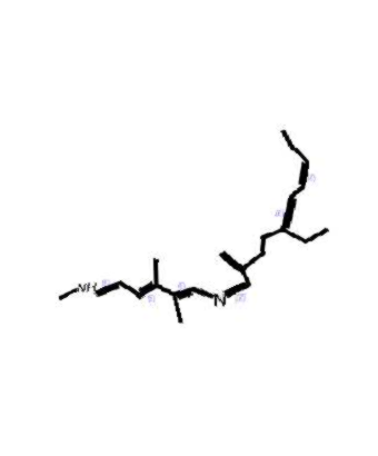 C=C(\C=N/C=C(C)/C(C)=C/C=C/NC)CC/C(=C/C=C\CC)CC